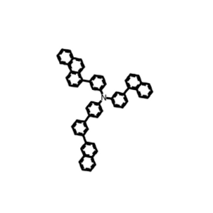 c1cc(-c2ccc(N(c3cccc(-c4cccc5ccccc45)c3)c3cccc(-c4cccc5c4ccc4ccccc45)c3)cc2)cc(-c2ccc3ccccc3c2)c1